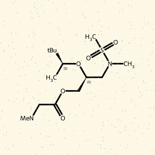 CNCC(=O)OC[C@H](CN(C)S(C)(=O)=O)O[C@@H](C)C(C)(C)C